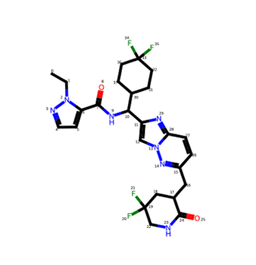 CCn1nccc1C(=O)NC(c1cn2nc(CC3CC(F)(F)CNC3=O)ccc2n1)C1CCC(F)(F)CC1